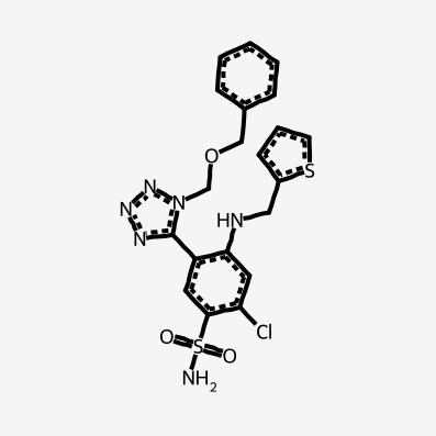 NS(=O)(=O)c1cc(-c2nnnn2COCc2ccccc2)c(NCc2cccs2)cc1Cl